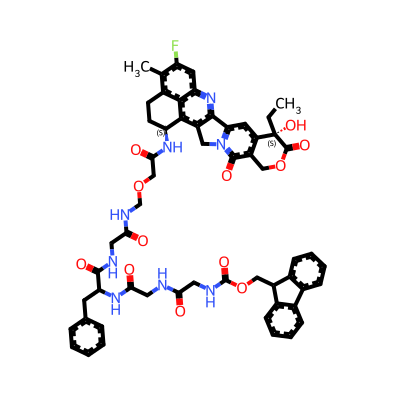 CC[C@@]1(O)C(=O)OCc2c1cc1n(c2=O)Cc2c-1nc1cc(F)c(C)c3c1c2[C@@H](NC(=O)COCNC(=O)CNC(=O)C(Cc1ccccc1)NC(=O)CNC(=O)CNC(=O)OCC1c2ccccc2-c2ccccc21)CC3